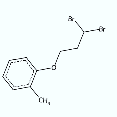 Cc1ccccc1OCCC(Br)Br